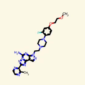 COCCOc1ccc(N2CCN(CCn3ncc4c3nc(N)n3nc(-c5nccnc5C)nc43)CC2)c(F)c1